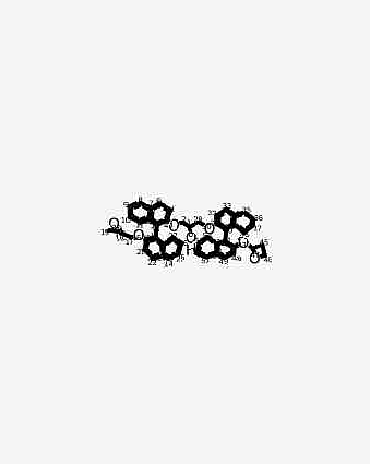 OC(COc1ccc2ccccc2c1-c1c(OCC2CO2)ccc2ccccc12)COc1ccc2ccccc2c1-c1c(OC2CCO2)ccc2ccccc12